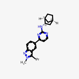 CC(C)c1c2cc(-c3ccnc(N[C@H]4C[C@@H]5CC[C@H]4C5)n3)ccc2nn1C